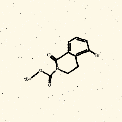 CC(C)(C)OC(=O)N1CCc2c(Br)cccc2C1=O